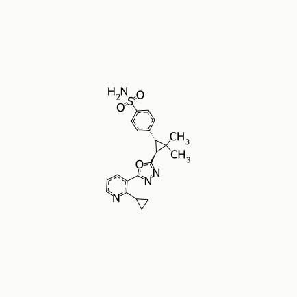 CC1(C)[C@@H](c2ccc(S(N)(=O)=O)cc2)[C@@H]1c1nnc(-c2cccnc2C2CC2)o1